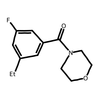 CCc1cc(F)cc(C(=O)N2CCOCC2)c1